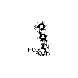 COCc1nn(Cc2ccc(Cn3ccccc3=O)cc2)cc1C(=O)O